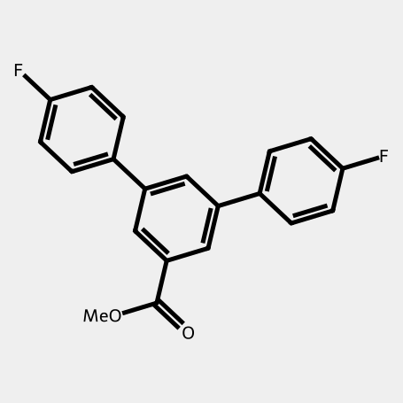 COC(=O)c1cc(-c2ccc(F)cc2)cc(-c2ccc(F)cc2)c1